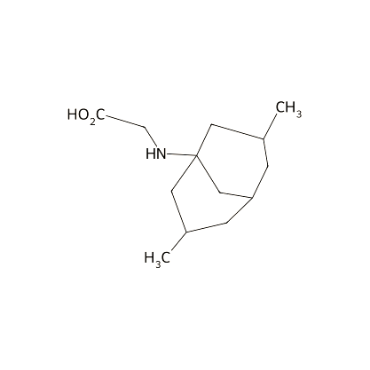 CC1CC2CC(C)CC(NCC(=O)O)(C1)C2